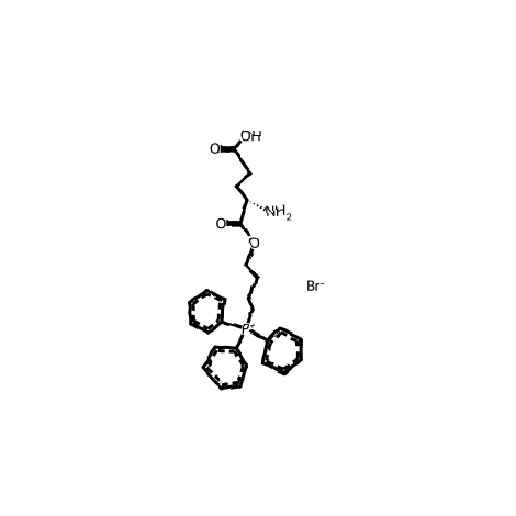 N[C@@H](CCC(=O)O)C(=O)OCCCC[P+](c1ccccc1)(c1ccccc1)c1ccccc1.[Br-]